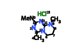 CNC1=NC(C)N2CCCN(C)C2=N1.Cl